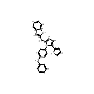 c1ccc(Oc2ccc(-n3c(Sc4nc5ccccc5s4)nnc3-c3cccs3)cc2)cc1